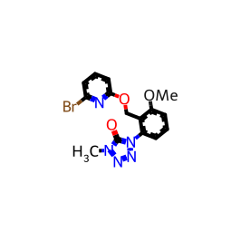 COc1cccc(-n2nnn(C)c2=O)c1COc1cccc(Br)n1